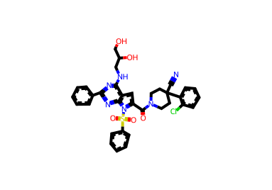 N#CC1(c2ccccc2Cl)CCN(C(=O)c2cc3c(NCC(O)CO)nc(-c4ccccc4)nc3n2S(=O)(=O)c2ccccc2)CC1